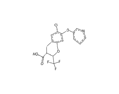 O=C(O)C1Cc2cc(Cl)c(Oc3cccnc3)cc2OC1C(F)(F)F